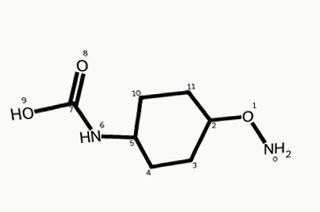 NOC1CCC(NC(=O)O)CC1